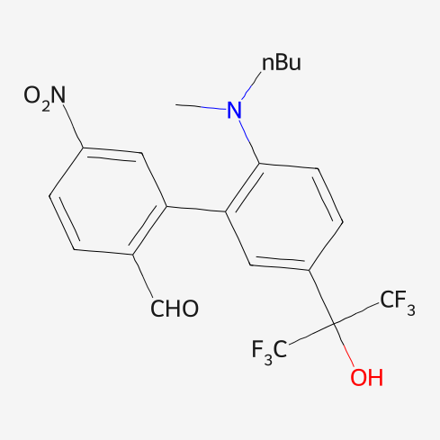 CCCCN(C)c1ccc(C(O)(C(F)(F)F)C(F)(F)F)cc1-c1cc([N+](=O)[O-])ccc1C=O